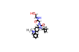 CN(C)[C@]1(c2ccccc2)CC[C@@]2(CC1)CN(CC(=O)NCCO)C(=O)N2CC1(C)CCC1